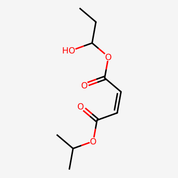 CCC(O)OC(=O)/C=C\C(=O)OC(C)C